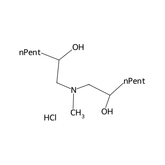 CCCCCC(O)CN(C)CC(O)CCCCC.Cl